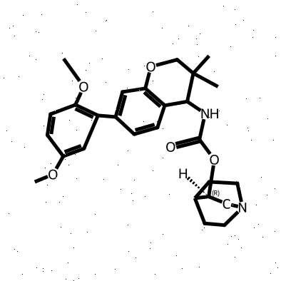 COc1ccc(OC)c(-c2ccc3c(c2)OCC(C)(C)C3NC(=O)O[C@H]2CN3CCC2CC3)c1